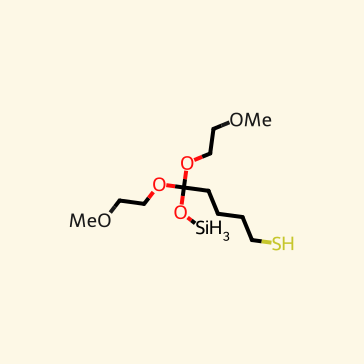 COCCOC(CCCCS)(O[SiH3])OCCOC